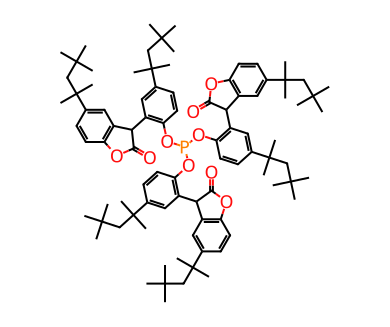 CC(C)(C)CC(C)(C)c1ccc2c(c1)C(c1cc(C(C)(C)CC(C)(C)C)ccc1OP(Oc1ccc(C(C)(C)CC(C)(C)C)cc1C1C(=O)Oc3ccc(C(C)(C)CC(C)(C)C)cc31)Oc1ccc(C(C)(C)CC(C)(C)C)cc1C1C(=O)Oc3ccc(C(C)(C)CC(C)(C)C)cc31)C(=O)O2